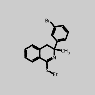 CCSC1=NC(C)(c2cccc(Br)c2)Cc2ccccc21